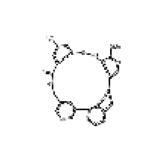 COc1ncc2cc1NSc1cc(cc(C(F)(F)F)c1)C(=O)NCc1cncc(c1)-c1ncnc3cc-2sc13